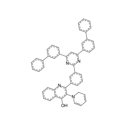 Oc1c(N2C=CC=CC2)c(-c2cccc(-c3nc(-c4cccc(-c5ccccc5)c4)cc(-c4cccc(-c5ccccc5)c4)n3)c2)nc2ccccc12